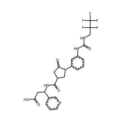 O=C(O)CC(NC(=O)C1CC(=O)N(c2cccc(NC(=O)NCC(F)(F)C(F)(F)F)c2)C1)c1cccnc1